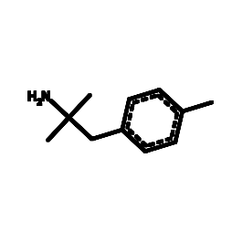 Cc1ccc(CC(C)(C)N)cc1